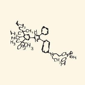 CCN(CCOP(=O)(O)O)c1ccc(-c2nc(-c3cc(C(C)(C)C)c(O)c(C(C)(C)C)c3)[nH]c2-c2ccccc2)cc1